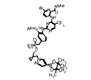 CCP(=O)(Cc1ccc(Nc2ncc(C(F)(F)F)c(Nc3ccc(Br)nc3C(=O)NC)n2)c(OC)c1)OCC1(Cn2cc(B3OC(C)(C)C(C)(C)O3)cn2)CC1